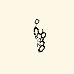 Cc1ccc2c(oc3nc4ccccc4cc32)c1-c1cc(C2CCCC2)cc[n+]1C